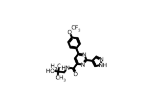 CC(C)(O)CNC(=O)c1cc(-c2ccc(OC(F)(F)F)cc2)nc(-c2cn[nH]c2)n1